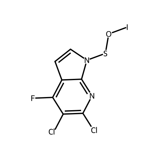 Fc1c(Cl)c(Cl)nc2c1ccn2SOI